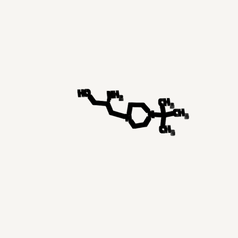 CC(C)(C)N1CCN(C[C@@H](N)CO)CC1